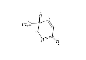 O=C(O)C1(Cl)C=CC(Cl)=NC1